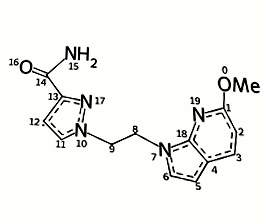 COc1ccc2ccn(CCn3c[c]c(C(N)=O)n3)c2n1